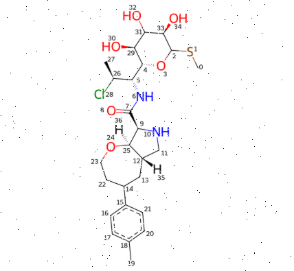 CSC1O[C@H]([C@H](NC(=O)[C@H]2NC[C@@H]3CC(c4ccc(C)cc4)CCO[C@H]32)[C@H](C)Cl)[C@@H](O)C(O)[C@H]1O